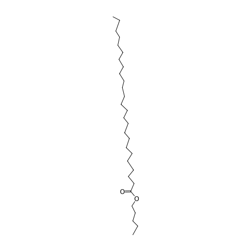 CCCCCCCCCCCCCCCCCCCCCCCCC(=O)OCCCCC